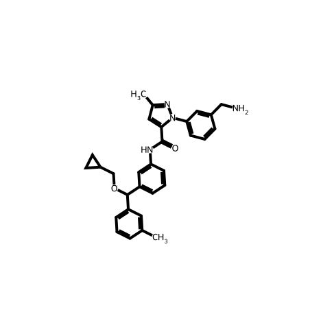 Cc1cccc(C(OCC2CC2)c2cccc(NC(=O)c3cc(C)nn3-c3cccc(CN)c3)c2)c1